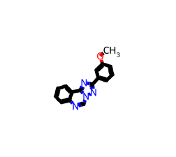 COc1cccc(-c2nc3c4ccccc4ncn3n2)c1